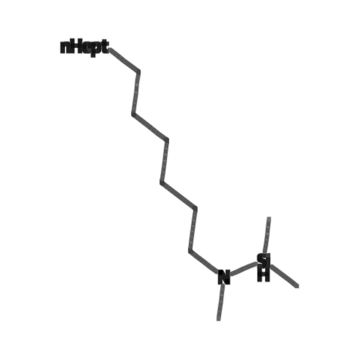 CCCCCCCCCCCCCN(C)[SiH](C)C